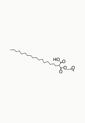 CCCCCCCCCCCCCCCCCC(C(=O)O)C(=O)OCC1CO1